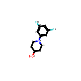 OC1CCN(c2cc(F)cc(F)c2)CC1